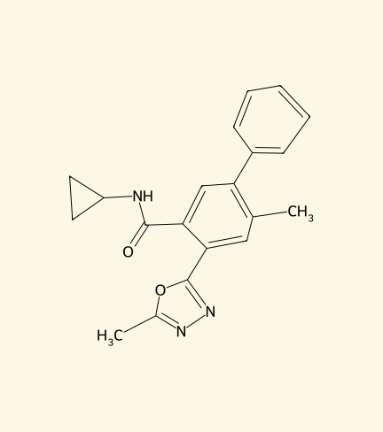 Cc1nnc(-c2cc(C)c(-c3ccccc3)cc2C(=O)NC2CC2)o1